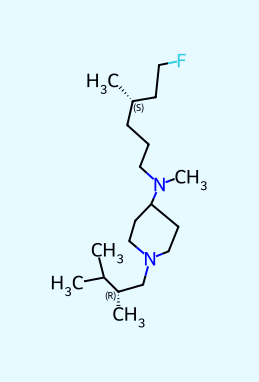 CC(C)[C@@H](C)CN1CCC(N(C)CCC[C@H](C)CCF)CC1